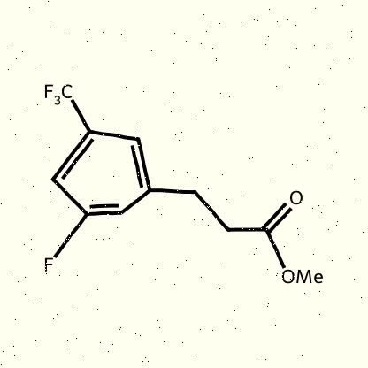 COC(=O)CCc1cc(F)cc(C(F)(F)F)c1